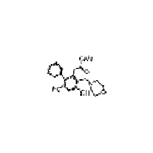 COC(=O)Cc1c(CN2CCOCC2)c(O)cc(O)c1-c1ccccc1